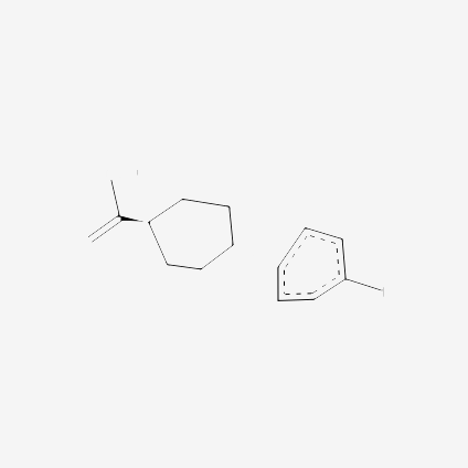 CCCCCCCCC(=O)[C@H]1CC[C@H](c2ccc(F)cc2)CC1